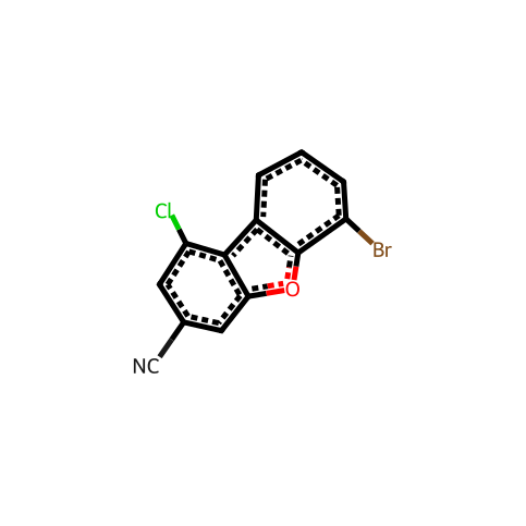 N#Cc1cc(Cl)c2c(c1)oc1c(Br)cccc12